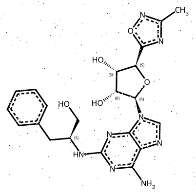 Cc1noc([C@H]2O[C@@H](n3cnc4c(N)nc(N[C@H](CO)Cc5ccccc5)nc43)[C@H](O)[C@@H]2O)n1